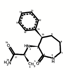 C[C@H](N[C@@H]1C(=O)NCCC[C@@H]1c1ccccc1)C(N)=O